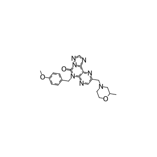 COc1ccc(Cn2c(=O)n3ncnc3c3nc(CN4CCOC(C)C4)cnc32)cc1